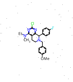 CCN(C)c1nc(Cl)nc2c1CCN(Cc1ccc(OC)cc1)C2c1ccc(F)cc1